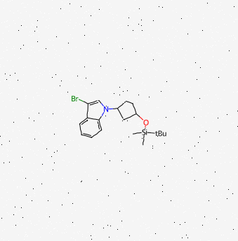 CC(C)(C)[Si](C)(C)OC1CCC(n2cc(Br)c3ccccc32)C1